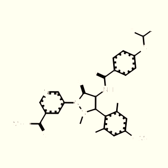 COC(=O)c1cncc(N2C(=O)C(NC(=O)c3ccc(OC(F)F)cc3)C(c3c(F)cc(OC)cc3F)N2C)c1